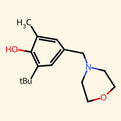 Cc1cc(CN2CCOCC2)cc(C(C)(C)C)c1O